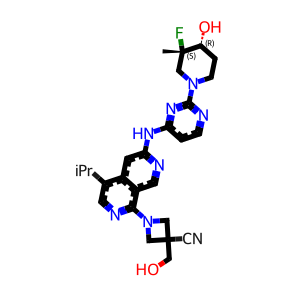 CC(C)c1cnc(N2CC(C#N)(CO)C2)c2cnc(Nc3ccnc(N4CC[C@@H](O)[C@@](C)(F)C4)n3)cc12